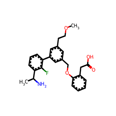 COCCc1cc(COc2ccccc2CC(=O)O)cc(-c2cccc(C(C)N)c2F)c1